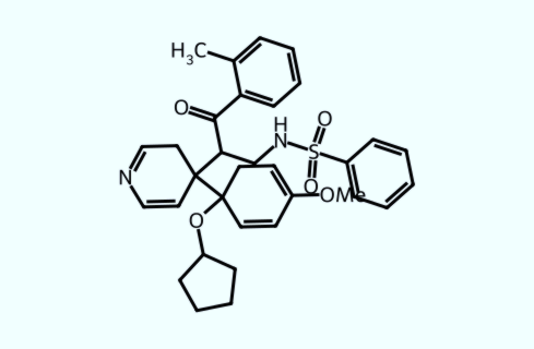 COC1=CCC(OC2CCCC2)(C2(C(CNS(=O)(=O)c3ccccc3)C(=O)c3ccccc3C)C=CN=CC2)C=C1